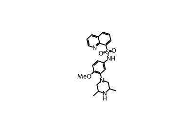 COc1ccc(NS(=O)(=O)c2cccc3cccnc23)cc1N1CC(C)NC(C)C1